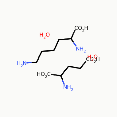 NC(CCC(=O)O)C(=O)O.NCCCCC(N)C(=O)O.O.O